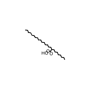 CCCCCCCCCCCCCCCCC(CCCCCCCC)C(=O)OO